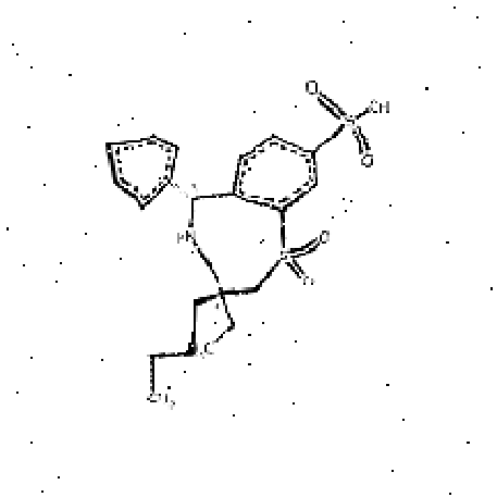 CCCC[C@]1(CC)CS(=O)(=O)c2cc(S(=O)(=O)O)ccc2[C@@H](c2ccccc2)N1